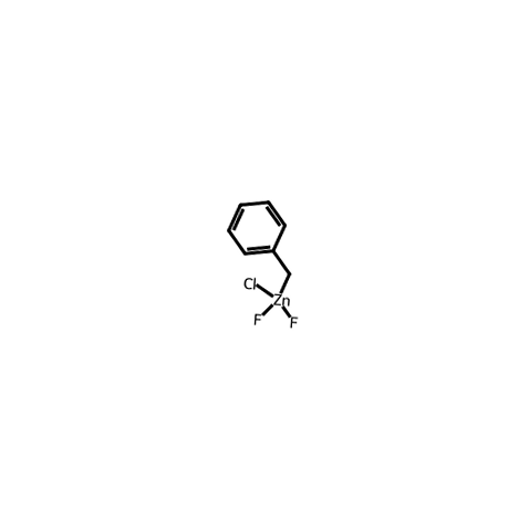 [F][Zn]([F])([Cl])[CH2]c1ccccc1